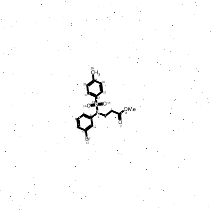 COC(=O)CCN(c1cccc(Br)c1)S(=O)(=O)c1ccc(C)cc1